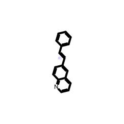 C(=C\c1ccc2ncccc2c1)/c1ccccc1